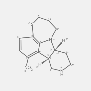 O=[N+]([O-])c1ccc2c3c1[C@H]1CNCC[C@H]1N3CCCS2